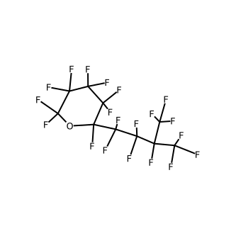 FC(F)(F)C(F)(C(F)(F)F)C(F)(F)C(F)(F)C1(F)OC(F)(F)C(F)(F)C(F)(F)C1(F)F